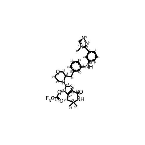 Cn1cnnc1-c1cccc(Nc2cccc(CC3COCCN3C3SC4=C(CC(C)(C)NC4=O)N3OC(=O)C(F)(F)F)c2)c1